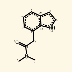 CN(C)C(=O)Cc1cccc2cc[nH]c12